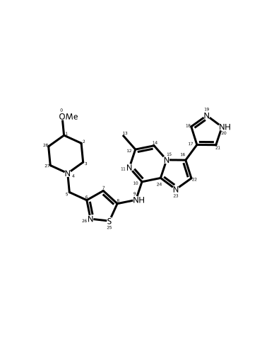 COC1CCN(Cc2cc(Nc3nc(C)cn4c(-c5cn[nH]c5)cnc34)sn2)CC1